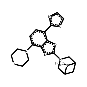 O=C(O)N1C2CC1CN(c1nc3c(N4CCOCC4)ccc(-c4nccs4)c3o1)C2